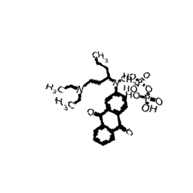 CCCC(CCN(CC)CC)N(C)c1ccc2c(c1)C(=O)c1ccccc1C2=O.O=P(O)(O)OP(=O)(O)O